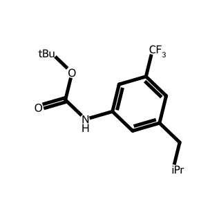 CC(C)Cc1cc(NC(=O)OC(C)(C)C)cc(C(F)(F)F)c1